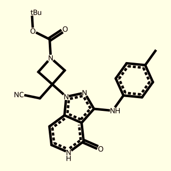 Cc1ccc(Nc2nn(C3(CC#N)CN(C(=O)OC(C)(C)C)C3)c3cc[nH]c(=O)c23)cc1